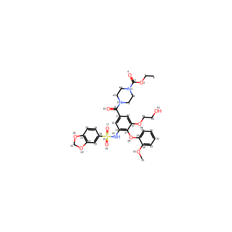 CCOC(=O)N1CCN(C(=O)c2cc(NS(=O)(=O)c3ccc4c(c3)OCO4)c(Oc3ccccc3OC)c(OCCO)c2)CC1